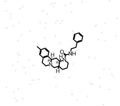 Cc1ccc2c(c1)CCN1C[C@H]3CCCN(C(=O)NCCc4ccccc4)[C@H]3C[C@H]21